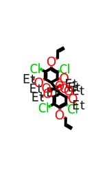 C=CCOC1=C(Cl)C(OCC)(OCC)C(OCC)(C(C)(C)C2(OCC)C(OCC)=C(Cl)C(OCC=C)=C(Cl)C2(OCC)OCC)C(OCC)=C1Cl